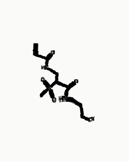 C=CC(=O)NCC(C(=O)NCCC#N)S(C)(=O)=O